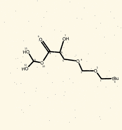 CC(C)(C)COCOCC(O)C(=O)OC(O)O